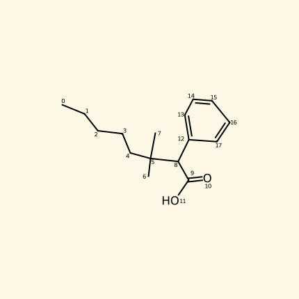 CCCCCC(C)(C)C(C(=O)O)c1ccccc1